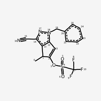 CC1C(OS(=O)(=O)C(F)(F)F)=Cc2c1c(C#N)nn2Cc1ccccc1